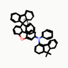 CC1(C)C2CC=CC=C2C2=C(N(c3ccccc3)C3C=C4OC5C=CC=C(C6(c7ccccc7)C7=C(CCC=C7)C7CCCC[C@@H]76)C5C4=CC3)C=CCC21